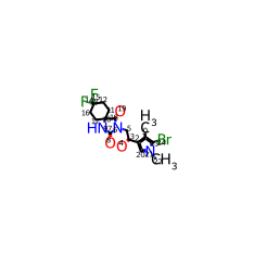 Cc1c(C(=O)CN2C(=O)NC3(CCC(F)(F)CC3)C2=O)cn(C)c1Br